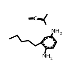 C=C=C(C)C.CCCCCc1cc(N)ccc1N